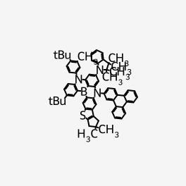 Cc1cc(N2c3ccc(C(C)(C)C)cc3B3c4cc5sc6c(c5cc4N(c4ccc5c7ccccc7c7ccccc7c5c4)c4cc(N5c7ccccc7C(C)(C)C5(C)C)cc2c43)CC(C)(C)C6)ccc1C(C)(C)C